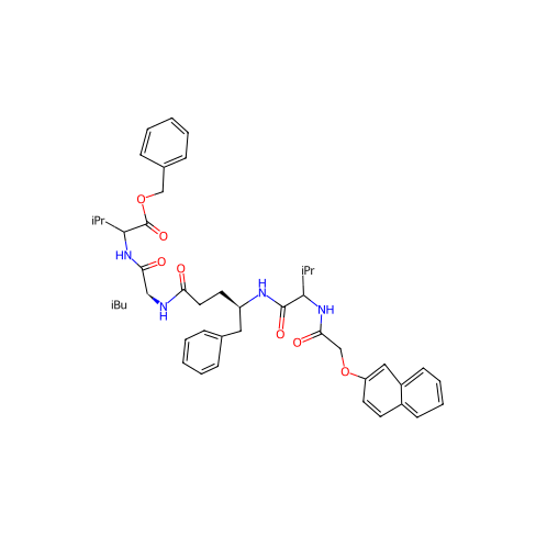 CC[C@H](C)[C@H](NC(=O)CC[C@H](Cc1ccccc1)NC(=O)C(NC(=O)COc1ccc2ccccc2c1)C(C)C)C(=O)NC(C(=O)OCc1ccccc1)C(C)C